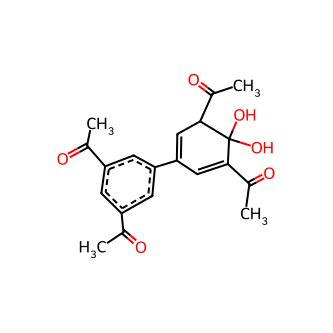 CC(=O)C1=CC(c2cc(C(C)=O)cc(C(C)=O)c2)=CC(C(C)=O)C1(O)O